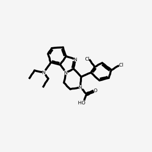 CCN(CC)c1cccc2nc3n(c12)CCN(C(=O)O)C3c1ccc(Cl)cc1Cl